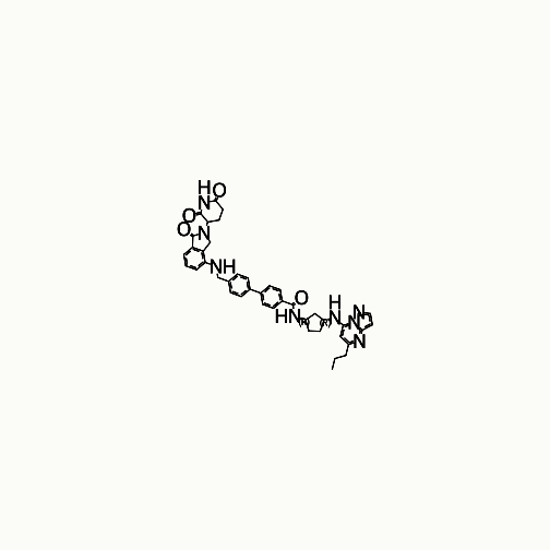 CCCc1cc(N[C@@H]2CC[C@@H](NC(=O)c3ccc(-c4ccc(CNc5cccc6c5CN(C5CCC(=O)NC5=O)C6=O)cc4)cc3)C2)n2nccc2n1